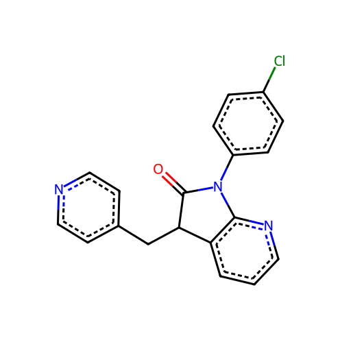 O=C1C(Cc2ccncc2)c2cccnc2N1c1ccc(Cl)cc1